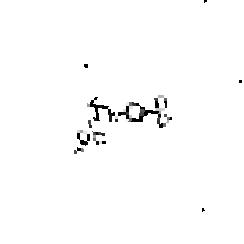 CCOC(=O)CCC1(CNc2ccc(C(=O)OC)cc2)CC1